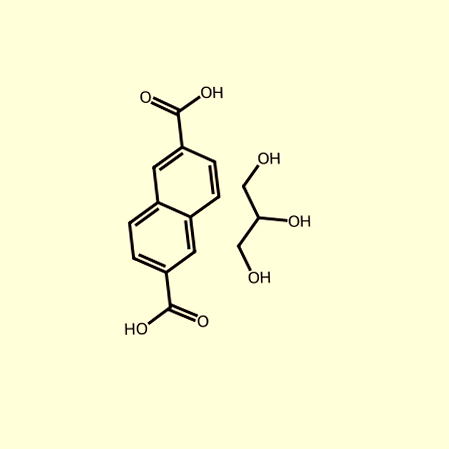 O=C(O)c1ccc2cc(C(=O)O)ccc2c1.OCC(O)CO